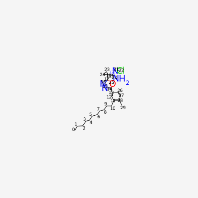 CCCCCCCCCCCc1cc(-c2nnc(C3(/C(N)=N/Cl)CC3)o2)ccc1C